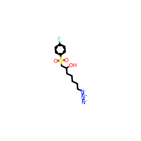 [N-]=[N+]=NCCCCCC(O)CS(=O)(=O)c1ccc(F)cc1